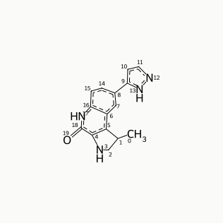 CC1CNc2c1c1cc(-c3ccn[nH]3)ccc1[nH]c2=O